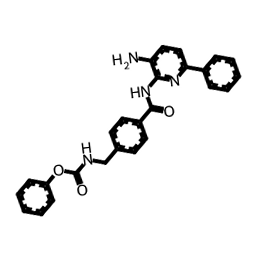 Nc1ccc(-c2ccccc2)nc1NC(=O)c1ccc(CNC(=O)Oc2ccccc2)cc1